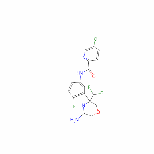 NC1=NC(c2cc(NC(=O)c3ccc(Cl)cn3)ccc2F)(C(F)F)COC1